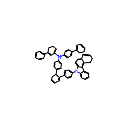 C1=CCCC(c2ccc(N(C3=CCCC(c4ccccc4)=C3)c3ccc(C4CC=CC=C4c4ccc(-n5c6ccccc6c6c7c(ccc65)C=CCC7)cc4)cc3)cc2)=C1